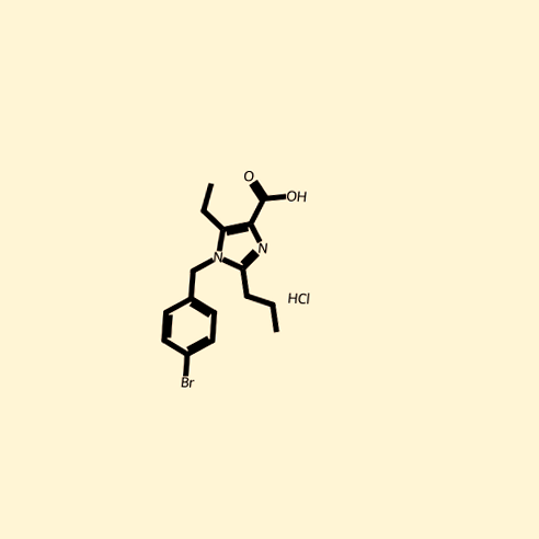 CCCc1nc(C(=O)O)c(CC)n1Cc1ccc(Br)cc1.Cl